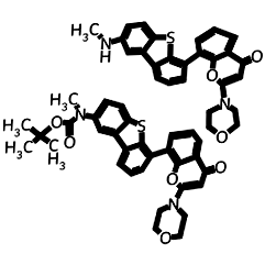 CN(C(=O)OC(C)(C)C)c1ccc2sc3c(-c4cccc5c(=O)cc(N6CCOCC6)oc45)cccc3c2c1.CNc1ccc2sc3c(-c4cccc5c(=O)cc(N6CCOCC6)oc45)cccc3c2c1